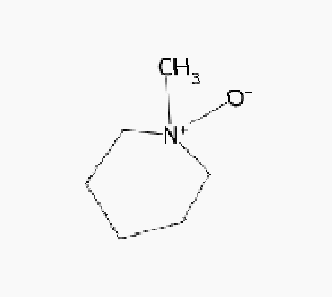 C[N+]1([O-])CCCCC1